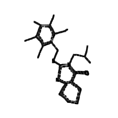 Cc1c(C)c(C)c(CSc2nc3ccccc3c(=O)n2CC(C)C)c(C)c1C